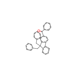 O=C(c1ccccc1)c1ccc2c(c1)C(Cc1ccccc1)(Cc1ccccc1)c1ccccc1-2